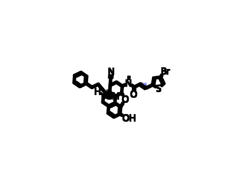 CN(C(=O)/C=C/c1cc(Br)cs1)C1CC[C@@]2(O)[C@H]3Cc4ccc(O)c5c4[C@@]2(CC(C#N)N3CCc2ccccc2)C1O5